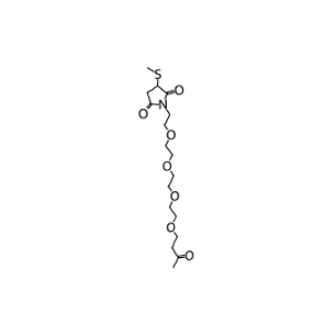 CSC1CC(=O)N(CCOCCOCCOCCOCCC(C)=O)C1=O